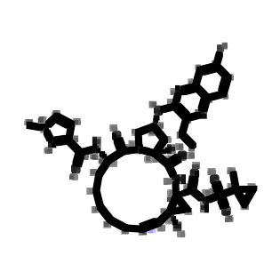 CCc1nc2ccc(F)cc2nc1O[C@@H]1C[C@H]2C(=O)N[C@]3(C(=O)NS(=O)(=O)C4(C)CC4)C[C@H]3/C=C\CCCCC[C@H](NC(=O)c3ccn(C)n3)C(=O)N2C1